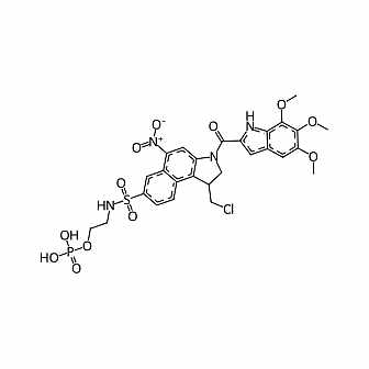 COc1cc2cc(C(=O)N3CC(CCl)c4c3cc([N+](=O)[O-])c3cc(S(=O)(=O)NCCOP(=O)(O)O)ccc43)[nH]c2c(OC)c1OC